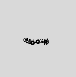 CC(=O)NC(C)Cc1ccc(-c2ccc(OCc3cc(C)on3)cc2)cc1